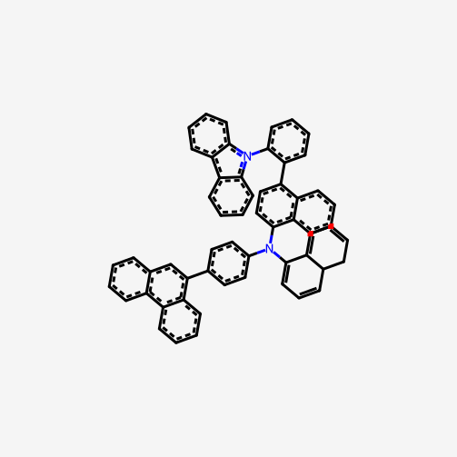 C1=CCC2C=CC=C(N(c3ccc(-c4cc5ccccc5c5ccccc45)cc3)c3ccc(-c4ccccc4-n4c5ccccc5c5ccccc54)c4ccccc34)C2=C1